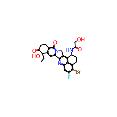 CC[C@@]1(O)C(=O)CCc2c1cc1n(c2=O)Cc2c-1nc1cc(F)c(Br)c3c1c2[C@@H](NC(=O)CO)CC3